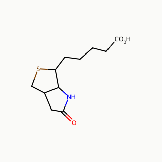 O=C(O)CCCCC1SCC2CC(=O)NC21